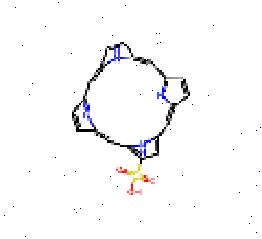 O=S(=O)(O)c1cc2cc3nc(cc4ccc(cc5nc(cc1[nH]2)C=C5)[nH]4)C=C3